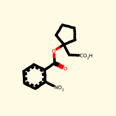 O=C(O)CC1(OC(=O)c2ccccc2[N+](=O)[O-])CCCC1